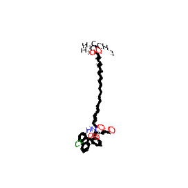 CC(C)(C)OC(=O)CCCCCCCCCCCCCCCCCCC(=O)N[C@@H](CCC=O)C(=O)OC(c1ccccc1)(c1ccccc1)c1ccccc1Cl